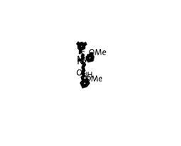 COc1cccc(-n2c(CCCC(=O)NCc3ccccc3OC)nnc2SCc2cc(C)cc(C)c2)c1